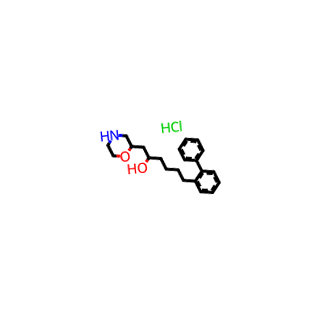 Cl.OC(CCCCc1ccccc1-c1ccccc1)CC1CNCCO1